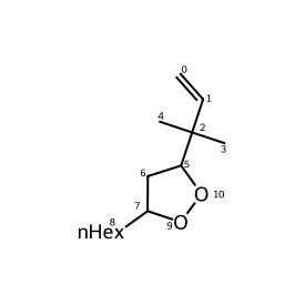 C=CC(C)(C)C1CC(CCCCCC)OO1